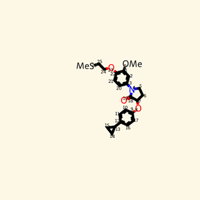 COc1cc(N2CCC(Oc3ccc(C4CC4)cc3)C2=O)ccc1OCCSC